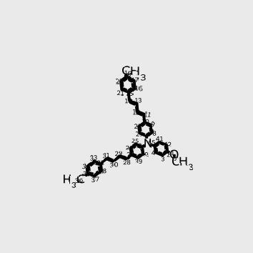 COc1ccc(N(c2ccc(/C=C/C=C/c3ccc(C)cc3)cc2)c2ccc(/C=C/C=C/c3ccc(C)cc3)cc2)cc1